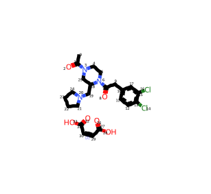 CC(=O)N1CCN(C(=O)Cc2ccc(Cl)c(Cl)c2)C(CN2CCCC2)C1.O=C(O)/C=C\C(=O)O